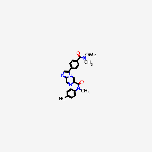 CON(C)C(=O)c1ccc(-c2cnc3cnc(C(=O)N(C)c4ccc(C#N)cc4)cn23)cc1